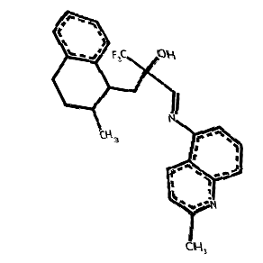 Cc1ccc2c(N=CC(O)(CC3c4ccccc4CCC3C)C(F)(F)F)cccc2n1